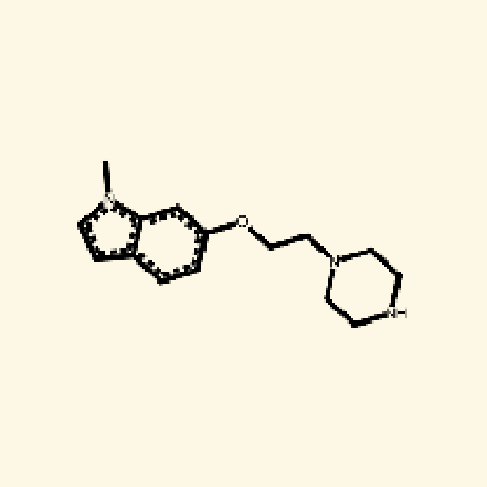 Cn1ccc2ccc(OCCN3CCNCC3)cc21